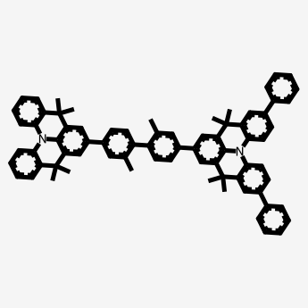 Cc1cc(-c2cc3c4c(c2)C(C)(C)c2ccccc2N4c2ccccc2C3(C)C)ccc1-c1ccc(-c2cc3c4c(c2)C(C)(C)c2cc(-c5ccccc5)ccc2N4c2ccc(-c4ccccc4)cc2C3(C)C)cc1C